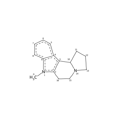 Cn1c2c(c3ccccc31)C1CCCN1CC2